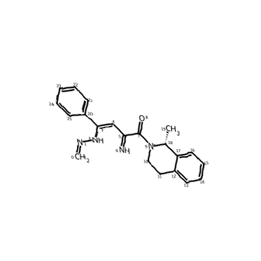 C=NN/C(=C\C(=N)C(=O)N1CCc2ccccc2[C@H]1C)c1ccccc1